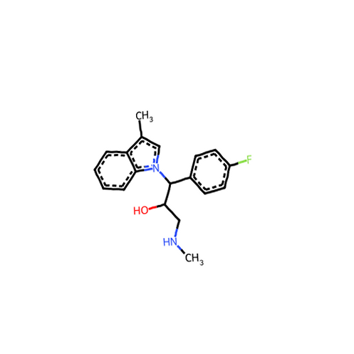 CNCC(O)C(c1ccc(F)cc1)n1cc(C)c2ccccc21